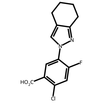 O=C(O)c1cc(-n2cc3c(n2)CCCC3)c(F)cc1Cl